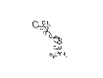 C=C(C)C(=O)OC1C2CC3CC1CC(OCC(=O)OC(C)OC1CCCCC1)(C3)C2